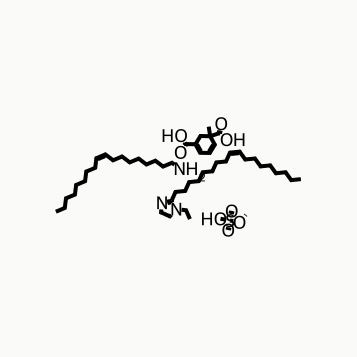 CC1(C(=O)O)C=CC=C(C(=O)O)C1.CCCCCCCC/C=C\CCCCCCCCC1=NCCN1CC.CCCCCCCC/C=C\CCCCCCCCN.COS(=O)(=O)O